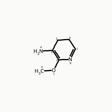 COC1=C(N)CCC=N1